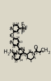 C=CC(=O)N1CCCC(c2nc(-c3ccc(Oc4cc(C(F)(F)F)ccn4)nc3)n3c(N)nccc23)C1